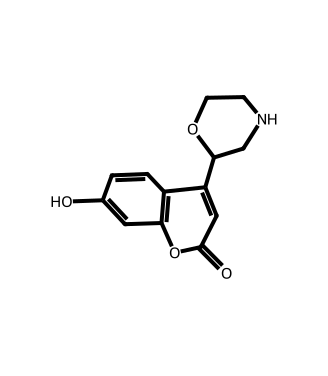 O=c1cc(C2CNCCO2)c2ccc(O)cc2o1